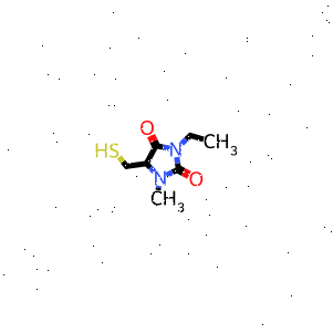 CCN1C(=O)C(CS)N(C)C1=O